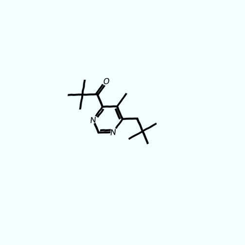 Cc1c(CC(C)(C)C)ncnc1C(=O)C(C)(C)C